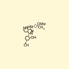 C#Cc1ccc(-c2nnc(NC3CC(C)(OC)C3)c3nnccc23)c(O)c1